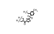 CCc1cc(C)ccc1S(=O)(=O)c1ncn(C(=O)N(CC)CC)n1